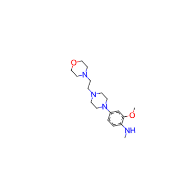 CNc1ccc(N2CCN(CCN3CCOCC3)CC2)cc1OC